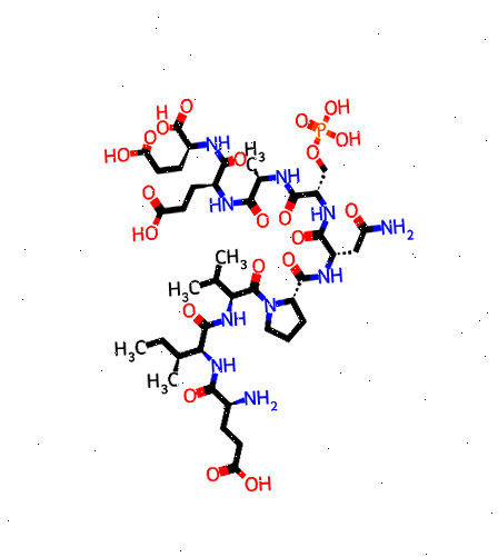 CC[C@H](C)[C@H](NC(=O)[C@@H](N)CCC(=O)O)C(=O)N[C@H](C(=O)N1CCC[C@H]1C(=O)N[C@@H](CC(N)=O)C(=O)N[C@@H](COP(=O)(O)O)C(=O)N[C@@H](C)C(=O)N[C@@H](CCC(=O)O)C(=O)N[C@@H](CCC(=O)O)C(=O)O)C(C)C